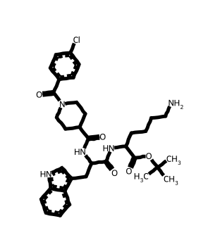 CC(C)(C)OC(=O)C(CCCCN)NC(=O)C(Cc1c[nH]c2ccccc12)NC(=O)C1CCN(C(=O)c2ccc(Cl)cc2)CC1